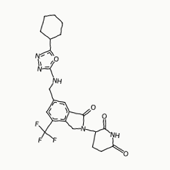 O=C1CCC(N2Cc3c(cc(CNc4nnc(C5CCCCC5)o4)cc3C(F)(F)F)C2=O)C(=O)N1